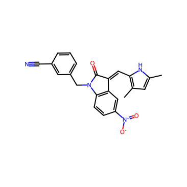 Cc1cc(C)c(C=C2C(=O)N(Cc3cccc(C#N)c3)c3ccc([N+](=O)[O-])cc32)[nH]1